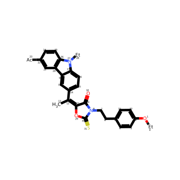 CCOc1ccc(CCN2C(=O)/C(=C(/C)c3ccc4c(c3)c3cc(C(C)=O)ccc3n4CC)OC2=S)cc1